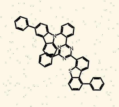 c1ccc(-c2ccc3c(c2)c2ccccc2n3-c2ccccc2-c2nc(-c3ccccc3)nc(-c3cccc4c3sc3cccc(-c5ccccc5)c34)n2)cc1